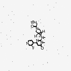 CN(c1nc(-c2ccncc2F)cc(=O)n1C)[C@@H]1[C@@H]2CN(C(=O)CC(C)(C)C)C[C@@H]21